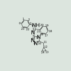 c1ccc(Nc2nc3nnc(CC4CC4)n3c3ccccc23)cc1